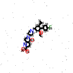 CCOc1cc(CN2CCC(N3CCc4nc(C(=O)OC)ccc4C3=O)CC2)cc(C2CC2)c1-c1ccc(F)cc1